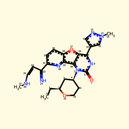 CC[C@H]1C[C@@H](n2c(=O)nc(-c3cnn(C)c3)c3oc4ccc(C(=N)/C=C\NC)nc4c32)CCO1